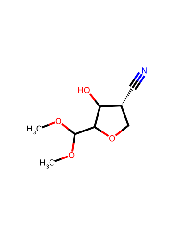 COC(OC)C1OC[C@@H](C#N)C1O